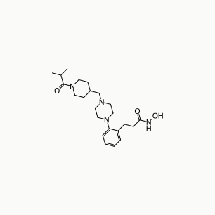 CC(C)C(=O)N1CCC(CN2CCN(c3ccccc3CCC(=O)NO)CC2)CC1